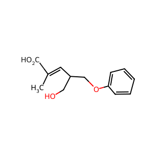 CC(=CC(CO)COc1ccccc1)C(=O)O